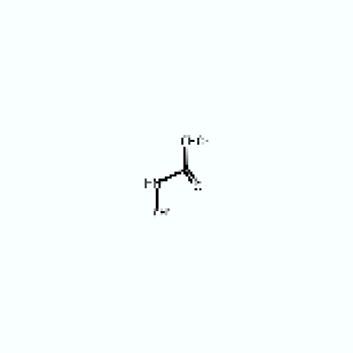 CCCNC(=O)[C]=O